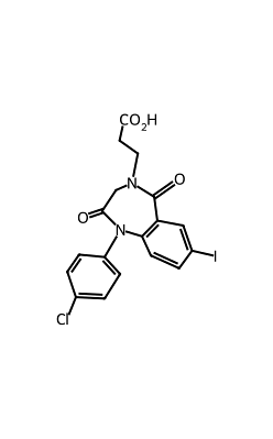 O=C(O)CCN1CC(=O)N(c2ccc(Cl)cc2)c2ccc(I)cc2C1=O